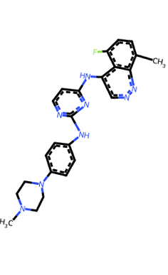 Cc1ccc(F)c2c(Nc3ccnc(Nc4ccc(N5CCN(C)CC5)cc4)n3)cnnc12